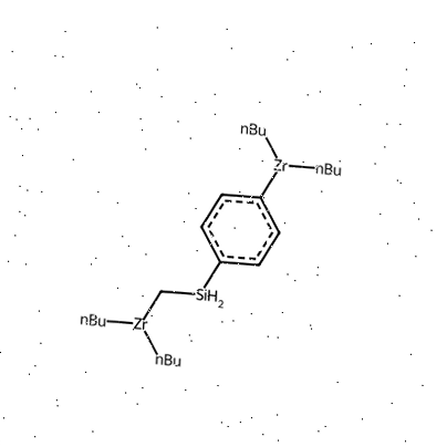 CCC[CH2][Zr]([CH2]CCC)[CH2][SiH2]c1cc[c]([Zr]([CH2]CCC)[CH2]CCC)cc1